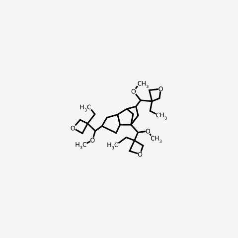 CCC1(C(OC)C2CC3C4CC(C(OC)C5(CC)COC5)(CC4C(OC)C4(CC)COC4)C3C2)COC1